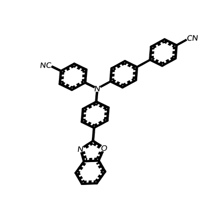 N#Cc1ccc(-c2ccc(N(c3ccc(C#N)cc3)c3ccc(-c4nc5ccccc5o4)cc3)cc2)cc1